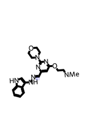 CNCCOc1cc(/C=N/Nc2c[nH]c3ccccc23)nc(N2CCOCC2)n1